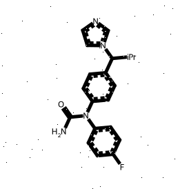 CC(C)C(c1ccc(N(C(N)=O)c2ccc(F)cc2)cc1)n1ccnc1